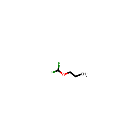 [CH2]CCOC(F)F